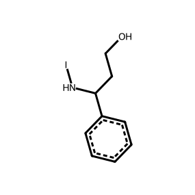 OCCC(NI)c1ccccc1